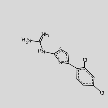 N=C(N)Nc1nc(-c2ccc(Cl)cc2Cl)cs1